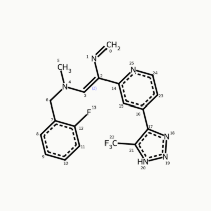 C=N/C(=C\N(C)Cc1ccccc1F)c1cc(-c2nn[nH]c2C(F)(F)F)ccn1